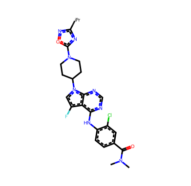 CC(C)c1noc(N2CCC(n3cc(F)c4c(Nc5ccc(C(=O)N(C)C)cc5Cl)ncnc43)CC2)n1